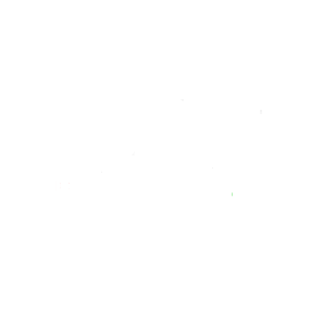 CC(C)(O)c1ccc(F)c(Cl)c1